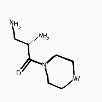 NC[C@H](N)C(=O)N1CCNCC1